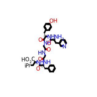 CC(C)C[C@H](NC(=O)[C@H](Cc1ccccc1)NC(=O)CNC(=O)CNC(=O)[C@H](Cc1ccc(O)cc1)NC(=O)[C@@H](N)Cc1cccnc1)C(=O)O